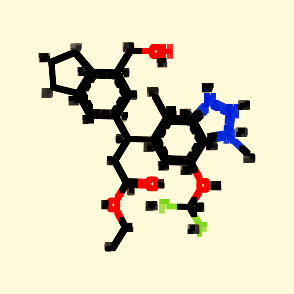 CCOC(=O)CC(c1cc(CO)c2c(c1)CCC2)c1cc(OC(F)F)c2c(nnn2C)c1C